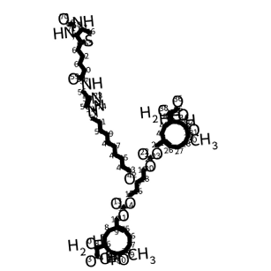 C=C1C(=O)O[C@H]2[C@H]1CC/C(COC(=O)OCCC(CCOC(=O)OC/C1=C/CC[C@@]3(C)O[C@H]3[C@H]3OC(=O)C(=C)[C@@H]3CC1)OCCCCCCCCCCn1cc(CNC(=O)CCCCC3SCC4NC(=O)NC43)nn1)=C\CC[C@@]1(C)O[C@@H]21